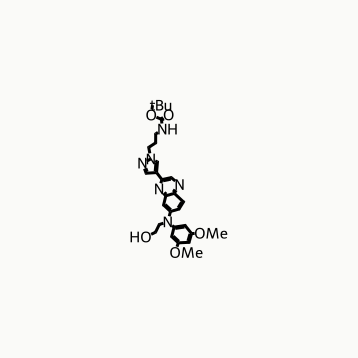 COc1cc(OC)cc(N(CCO)c2ccc3ncc(-c4cnn(CCCNC(=O)OC(C)(C)C)c4)nc3c2)c1